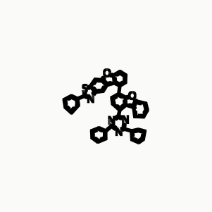 c1ccc(-c2nc(-c3ccccc3)nc(-c3ccc(-c4cccc5oc6cc7sc(-c8ccccc8)nc7cc6c45)c4oc5ccccc5c34)n2)cc1